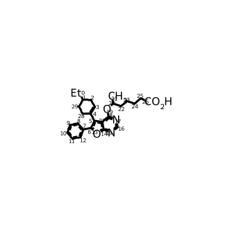 CCC1CC=C(c2c(-c3ccccc3)oc3ncnc(OC(C)CCCCC(=O)O)c23)CC1